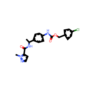 CC(NC(=O)c1ccnn1C)c1ccc(NC(=O)OCc2ccc(Cl)cc2)cc1